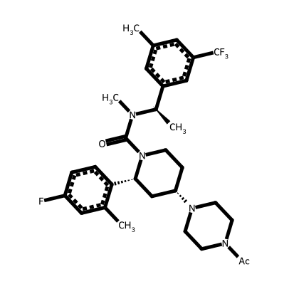 CC(=O)N1CCN([C@H]2CCN(C(=O)N(C)[C@H](C)c3cc(C)cc(C(F)(F)F)c3)[C@@H](c3ccc(F)cc3C)C2)CC1